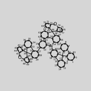 c1ccc(C2(c3ccccc3)c3ccccc3-c3ccc(N(c4cccc(-c5cccc6c5-c5ccccc5C65c6ccccc6Oc6ccccc65)c4)c4cccc5c4-c4ccccc4C54c5ccccc5Oc5ccccc54)cc32)cc1